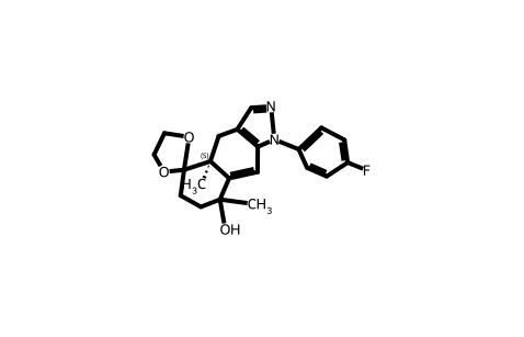 CC1(O)CCC2(OCCO2)[C@@]2(C)Cc3cnn(-c4ccc(F)cc4)c3C=C12